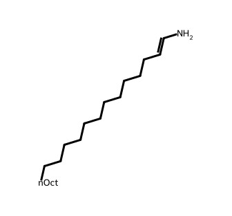 CCCCCCCCCCCCCCCCCCCC=CN